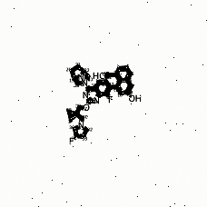 C#Cc1cccc2cc(O)cc(-c3ccc4c(N5CC6CCC(C5)N6)nc(OCC5(CN6CC[C@@H](F)C6)CC5)nc4c3F)c12